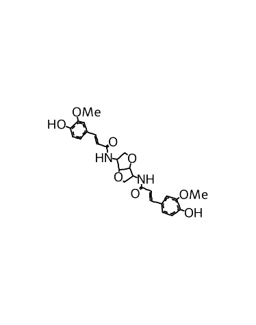 COc1cc(/C=C/C(=O)NC2COC3C(NC(=O)/C=C/c4ccc(O)c(OC)c4)COC23)ccc1O